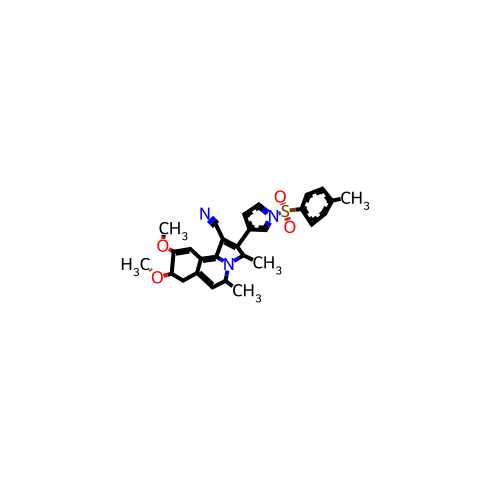 COC1=CC2=C3C(C#N)=C(c4ccn(S(=O)(=O)c5ccc(C)cc5)c4)C(C)N3C(C)C=C2CC1OC